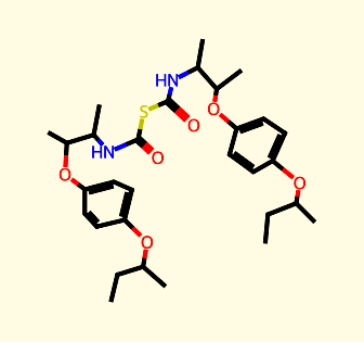 CCC(C)Oc1ccc(OC(C)C(C)NC(=O)SC(=O)NC(C)C(C)Oc2ccc(OC(C)CC)cc2)cc1